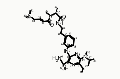 CCc1nc(C(N)O)c(Nc2cccc(CCNC(=O)[C@H](C)N(C)C(=O)/C=C/CN(C)C)c2)nc1N(C)C(C)C